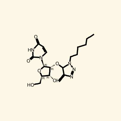 C=C1N=NN(CCCCCC)C1O[C@@H]1[C@H](O)[C@@H](CO)O[C@H]1n1ccc(=O)[nH]c1=O